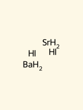 I.I.[BaH2].[SrH2]